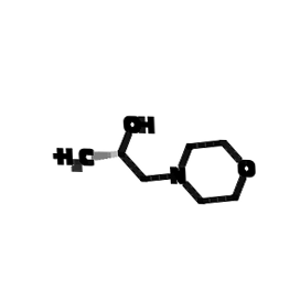 [CH2][C@H](O)CN1CCOCC1